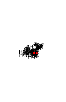 COC(=O)C1O[C@@H](Oc2ccc(C[C@@H](c3ccc(OC(F)F)c(OC4CC4)c3)c3cnc(C(O)(C(F)(F)F)C(F)(F)F)s3)cn2)C(O)[C@H](O)[C@@H]1O